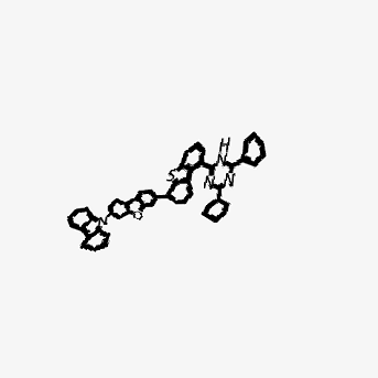 c1ccc(C2=NC(c3ccccc3)NC(c3cccc4sc5c(-c6ccc7c(c6)oc6cc(-n8c9ccccc9c9ccccc98)ccc67)cccc5c34)=N2)cc1